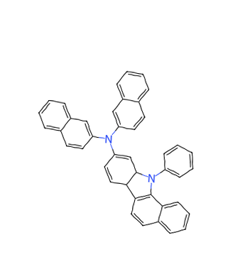 C1=CC2c3ccc4ccccc4c3N(c3ccccc3)C2C=C1N(c1ccc2ccccc2c1)c1ccc2ccccc2c1